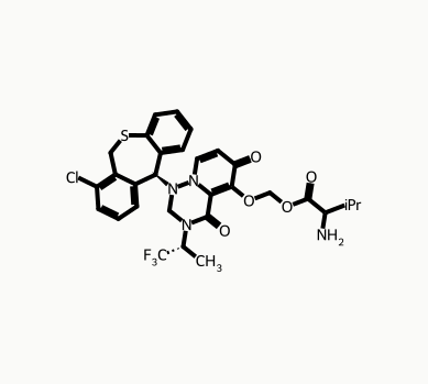 CC(C)C(N)C(=O)OCOc1c2n(ccc1=O)N([C@@H]1c3ccccc3SCc3c(Cl)cccc31)CN([C@H](C)C(F)(F)F)C2=O